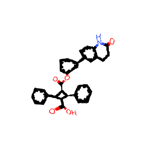 O=C1CCc2cc(-c3cccc(OC(=O)[C@@H]4C(c5ccccc5)C(C(=O)O)[C@@H]4c4ccccc4)c3)ccc2N1